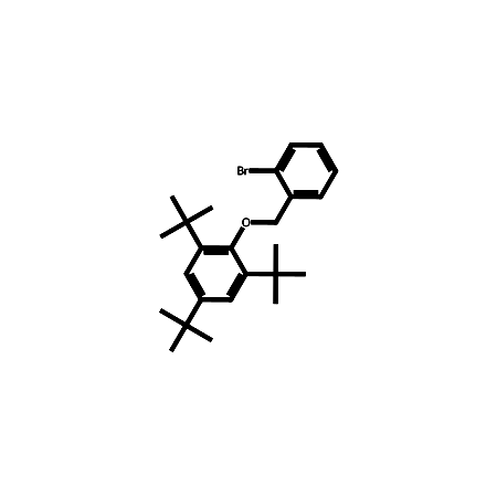 CC(C)(C)c1cc(C(C)(C)C)c(OCc2ccccc2Br)c(C(C)(C)C)c1